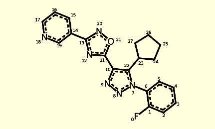 Fc1ccccc1-n1nnc(-c2nc(-c3cccnc3)no2)c1C1CCCC1